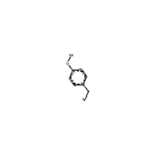 OOc1ccc(CBr)cc1